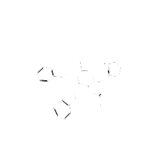 CC(=O)OC1C(OCc2ccccc2)[C@H](OCc2ccccc2)C(CO)O[C@H]1SC1=NCCS1